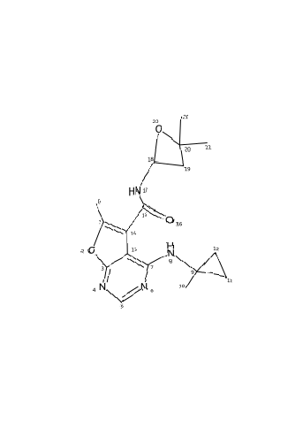 Cc1oc2ncnc(NC3(C)CC3)c2c1C(=O)NC1CC(C)(C)O1